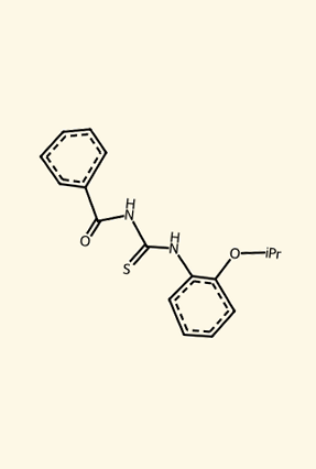 CC(C)Oc1ccccc1NC(=S)NC(=O)c1ccccc1